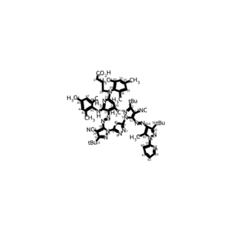 [C-]#[N+]c1c(C(C)(C)C)nn(-c2nnc(-n3nc(C(C)(C)C)c(C#N)c3N=Nc3c(C)cc(N(CCCC(=O)O)c4c(C)cc(C)cc4C)nc3Nc3c(C)cc(C)cc3C)s2)c1N=Nc1c(C(C)(C)C)nn(-c2ccccn2)c1C